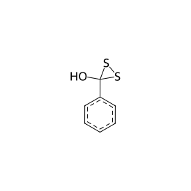 OC1(c2ccccc2)SS1